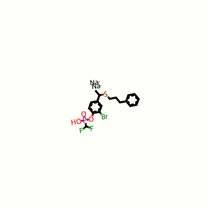 CC(SCCCc1ccccc1)c1ccc(OP(=O)(O)C(F)F)c(Br)c1.[Na].[Na]